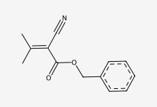 CC(C)=C(C#N)C(=O)OCc1ccccc1